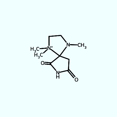 CN1CC[N+](C)(C)C12CC(=O)NC2=O